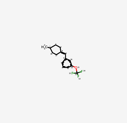 CC1CCC(=Cc2cccc(OC(F)(F)F)c2)CC1